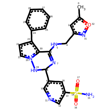 Cc1cc(CNC2=NC(c3cncc(S(N)(=O)=O)c3)Nn3ccc(-c4ccccc4)c32)no1